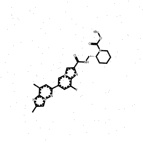 Cc1cn2nc(-c3cc(F)c4nc(C(=O)NC[C@H]5CCCCN5C(=O)OC(C)(C)C)cn4c3)cc(C)c2n1